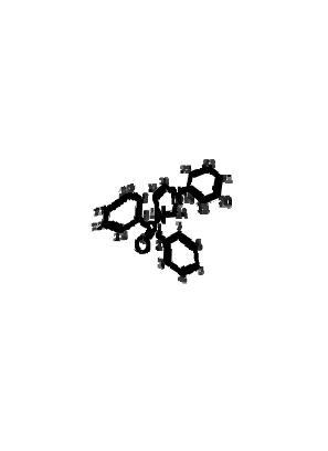 O=P(c1ccccc1)(c1ccccc1)N1C=CN(c2ccccc2)C1